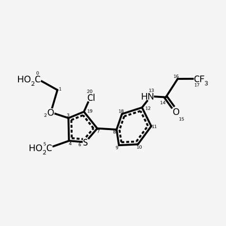 O=C(O)COc1c(C(=O)O)sc(-c2cccc(NC(=O)CC(F)(F)F)c2)c1Cl